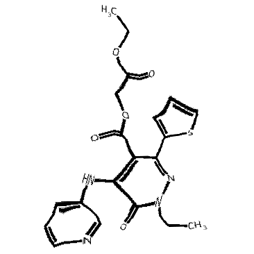 CCOC(=O)COC(=O)c1c(-c2cccs2)nn(CC)c(=O)c1Nc1cccnc1